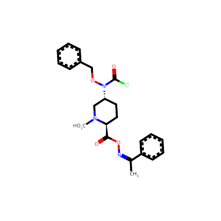 C/C(=N/OC(=O)[C@@H]1CC[C@@H](N(OCc2ccccc2)C(=O)Cl)CN1C(=O)O)c1ccccc1